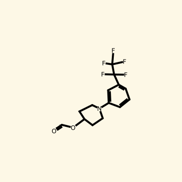 O=[C]OC1CCN(c2cccc(C(F)(F)C(F)(F)F)c2)CC1